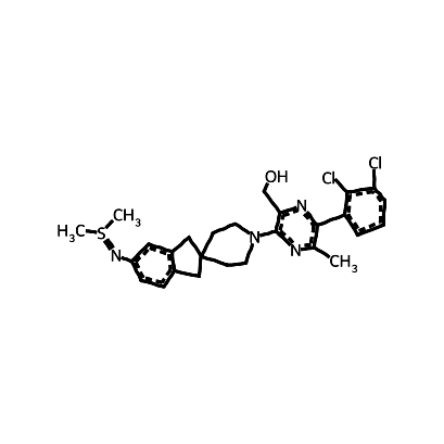 Cc1nc(N2CCC3(CC2)Cc2ccc(N=S(C)C)cc2C3)c(CO)nc1-c1cccc(Cl)c1Cl